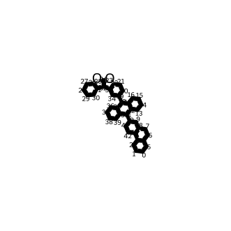 c1ccc2c(c1)ccc1cc(-c3c4ccccc4c(-c4ccc5oc6oc7ccccc7c6c5c4)c4ccccc34)ccc12